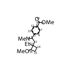 CCC1(CC(NC)c2ccc(C(=O)OC)cc2)CCC1OC